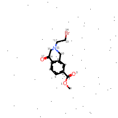 COC(=O)c1ccc2c(c1)CN(CCBr)CC2=O